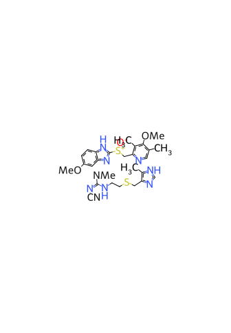 CN/C(=N/C#N)NCCSCc1nc[nH]c1C.COc1ccc2[nH]c([S+]([O-])Cc3ncc(C)c(OC)c3C)nc2c1